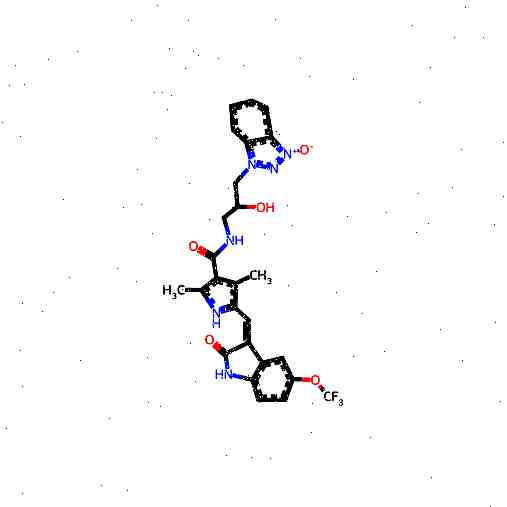 Cc1[nH]c(C=C2C(=O)Nc3ccc(OC(F)(F)F)cc32)c(C)c1C(=O)NCC(O)Cn1n[n+]([O-])c2ccccc21